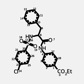 CCOC(=O)c1ccc(NC(=O)C(Cc2ccccc2)NS(=O)(=O)c2ccc(Cl)cc2)cc1